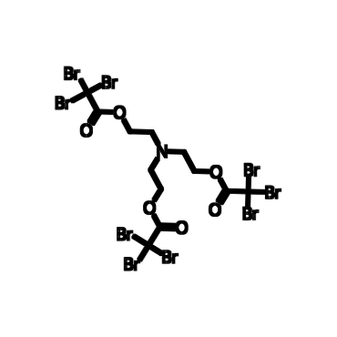 O=C(OCCN(CCOC(=O)C(Br)(Br)Br)CCOC(=O)C(Br)(Br)Br)C(Br)(Br)Br